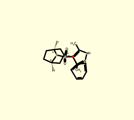 Cc1n[nH]c(C)c1S(=O)(=O)N1[C@@H]2CC[C@H]1C[C@H](Oc1ccccc1)C2